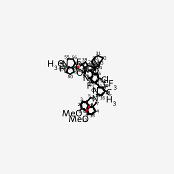 COc1ccc(CN(Cc2ccc(OC)cc2)c2cc(C)c(C(F)(F)F)c(-c3c(Cl)cc4c(N5CC6CCC(C5)N6C(=O)C5CC(F)(F)C5)nc(OC[C@]56CCC[C@H]5N(C)CCC6)nc4c3F)n2)cc1